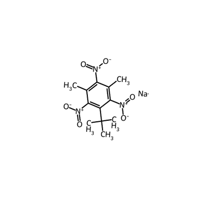 Cc1c([N+](=O)[O-])c(C)c([N+](=O)[O-])c(C(C)(C)C)c1[N+](=O)[O-].[Na]